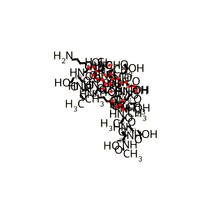 CC[C@H](C)[C@H](NC(=O)[C@H](CCC(=O)O)NC(=O)[C@H](CO)NC(=O)[C@H](CC(=O)O)NC(=O)[C@@H](NC(=O)[C@H](C)NC(=O)[C@H](CC(=O)O)NC(=O)[C@H](CO)NC(C)=O)C(C)C)C(=O)N[C@H](C(=O)N[C@@H](CCCCN)C(=O)N[C@@H](CC(=O)O)C(=O)N[C@@H](CC(C)C)C(=O)N[C@@H](CCCCN)C(=O)N[C@@H](CCC(=O)O)C(=O)N[C@H](C(=O)N[C@@H](CCC(=O)O)C(=O)N[C@@H](CC(N)=O)C(=O)O)C(C)C)[C@@H](C)O